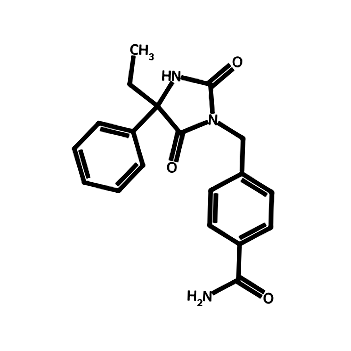 CCC1(c2ccccc2)NC(=O)N(Cc2ccc(C(N)=O)cc2)C1=O